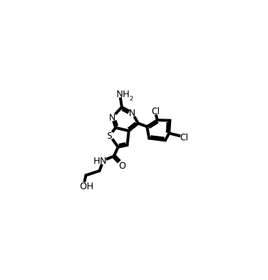 Nc1nc(-c2ccc(Cl)cc2Cl)c2cc(C(=O)NCCO)sc2n1